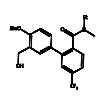 CCN(C)C(=O)c1ccc(C(F)(F)F)cc1-c1ccc(OC)c(CO)c1